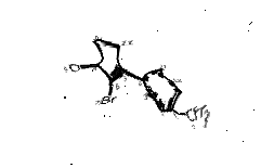 Cc1ccc(C2=C(Br)C(=O)CC2)cc1